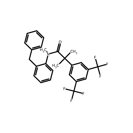 CN(C(=O)C(C)(C)c1cc(C(F)(F)F)cc(C(F)(F)F)c1)c1ccccc1Cc1ccccc1